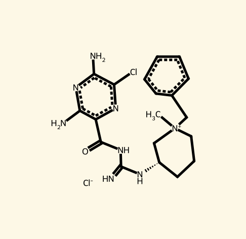 C[N+]1(Cc2ccccc2)CCC[C@H](NC(=N)NC(=O)c2nc(Cl)c(N)nc2N)C1.[Cl-]